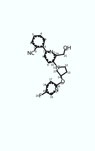 N#Cc1ccccc1-c1ccc(N2CCC(Oc3ccc(F)cn3)C2)c(CO)n1